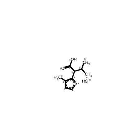 Cc1ccsc1C(C(=O)O)C(C)C.Cl